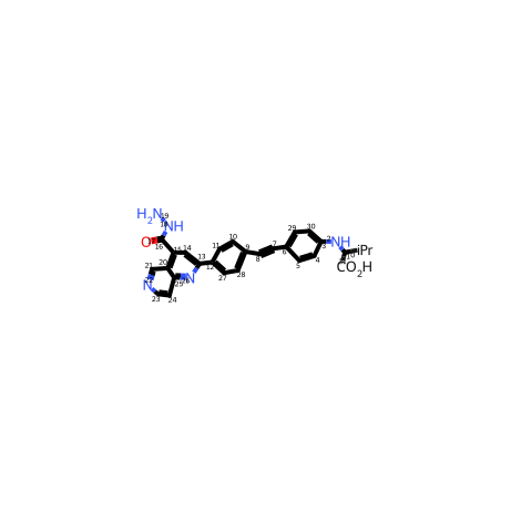 CC(C)C(Nc1ccc(C#Cc2ccc(-c3cc(C(=O)NN)c4cnccc4n3)cc2)cc1)C(=O)O